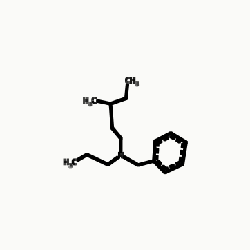 CCCN(CCC(C)CC)Cc1ccccc1